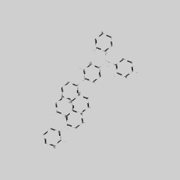 c1ccc(-c2ccc3ccc4c(-c5ccc(N(c6ccccc6)c6ccccc6)cc5)ccc5ccc2c3c54)cc1